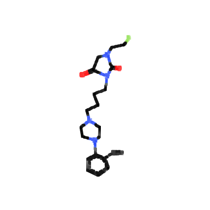 COc1ccccc1N1CCN(CCCCN2C(=O)CN(CCF)C2=O)CC1